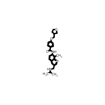 Cc1c(NC(=O)c2ccc(OCC3CCOC3)cc2)ccc2cc(CNC(C)C)cnc12